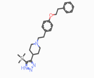 C[Si](C)(C)c1[nH]nnc1C1CCN(CCc2ccc(OCCc3ccccc3)cc2)CC1